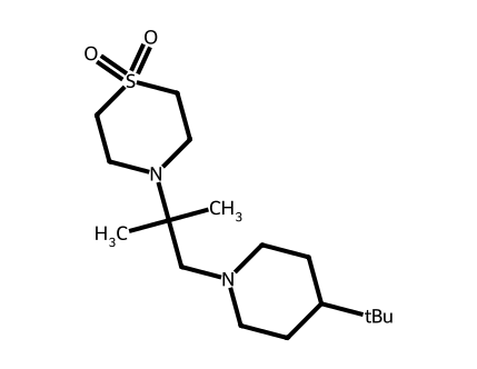 CC(C)(C)C1CCN(CC(C)(C)N2CCS(=O)(=O)CC2)CC1